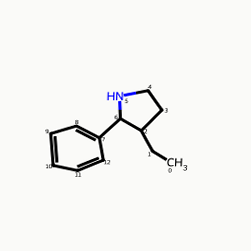 CCC1CCNC1c1ccccc1